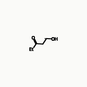 CCC(=O)C[CH]O